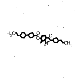 CCCC1CCC(CC(=O)c2ccc(OC(=O)C3CCC(C4CCC(CCC)CC4)CC3)c(F)c2C(F)F)CC1